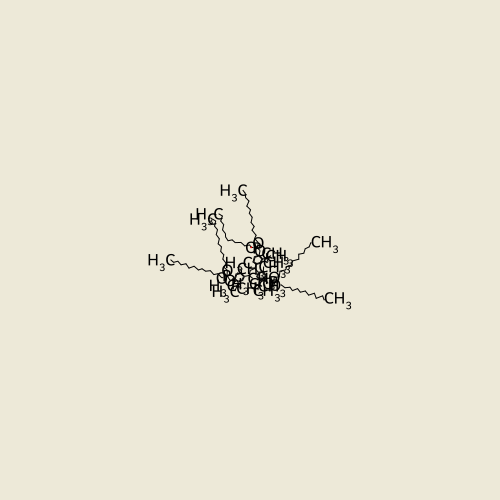 CCCCCCCCCCCCCOP(OCCCCCCCCCCCCC)Oc1cc(C)c(C(C)CC(c2cc(C(C)(C)C)c(OP(OCCCCCCCCCCCCC)OCCCCCCCCCCCCC)cc2C)c2cc(C(C)(C)C)c(OP(OCCCCCCCCCCCCC)OCCCCCCCCCCCCC)cc2C)cc1C(C)(C)C